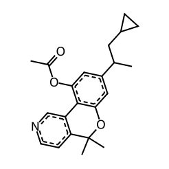 CC(=O)Oc1cc(C(C)CC2CC2)cc2c1-c1cnccc1C(C)(C)O2